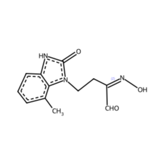 Cc1cccc2[nH]c(=O)n(CC/C(C=O)=N/O)c12